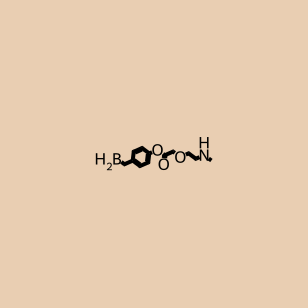 BCc1ccc(OC(=O)COCCNC)cc1